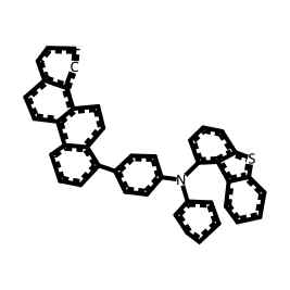 c1ccc(N(c2ccc(-c3cccc4c3ccc3c5ccccc5ccc43)cc2)c2cccc3sc4ccccc4c23)cc1